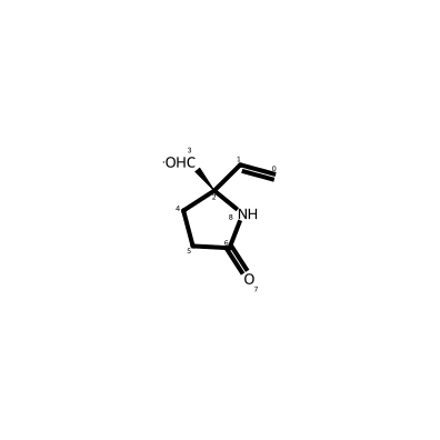 C=C[C@@]1([C]=O)CCC(=O)N1